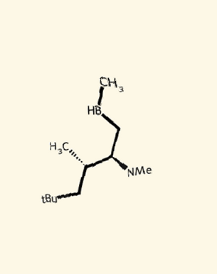 CBC[C@@H](NC)[C@@H](C)CC(C)(C)C